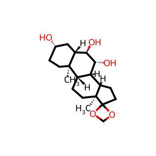 C[C@]12CC[C@H](O)C[C@@H]1[C@@H](O)[C@H](O)[C@@H]1[C@@H]2CC[C@@]2(C)[C@H]1CCC21OCO1